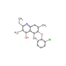 CCc1nc2cc(C)c(Oc3ccccc3Br)c(C)c2c(O)c1C